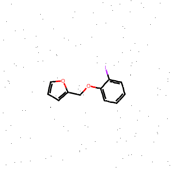 Ic1ccccc1OCc1ccco1